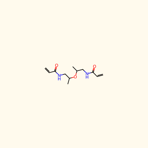 C=CC(=O)NCC(C)OC(C)CNC(=O)C=C